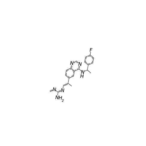 C=N/C(N)=N\C=C(/C)c1ccc2ncnc(NC(C)c3ccc(F)cc3)c2c1